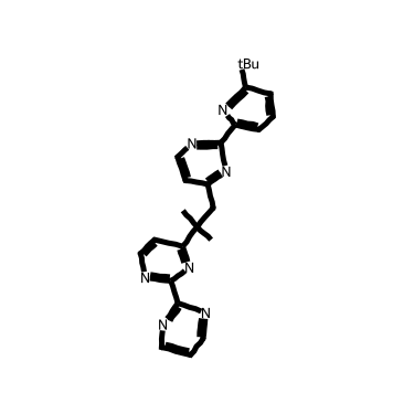 CC(C)(C)c1cccc(-c2nccc(CC(C)(C)c3ccnc(-c4ncccn4)n3)n2)n1